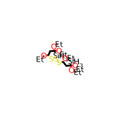 CCOC(CC([SiH3])(OCC)OCC)SSSC(CC([SiH3])(OCC)OCC)OCC